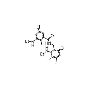 CCNc1cc(Cl)cc(C(=O)NCc2c(NCC)n(C)c(C)cc2=O)c1C